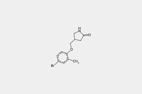 Cc1cc(Br)ccc1OCC1CNC(=O)C1